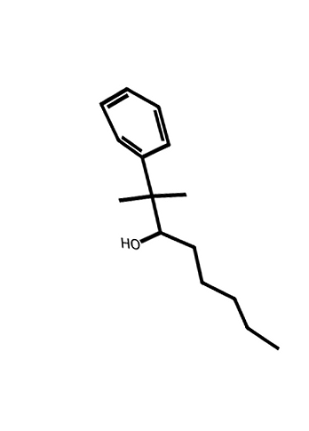 CCCCCC(O)C(C)(C)c1ccccc1